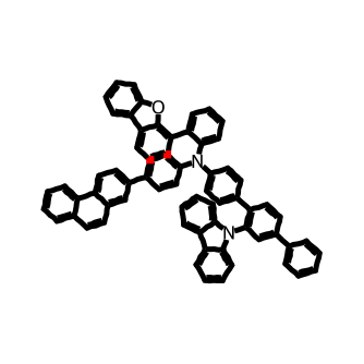 c1ccc(-c2ccc(-c3ccc(N(c4ccc(-c5ccc6c(ccc7ccccc76)c5)cc4)c4ccccc4-c4cccc5c4oc4ccccc45)cc3)c(-n3c4ccccc4c4ccccc43)c2)cc1